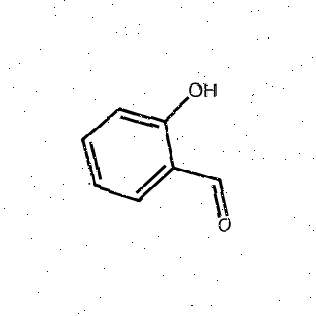 O=Cc1c[c]ccc1O